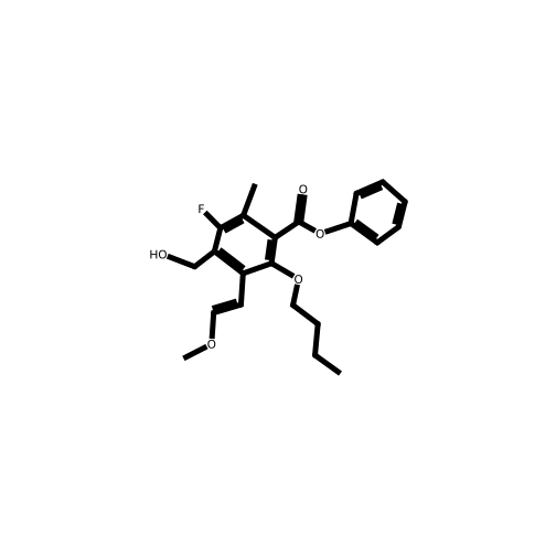 CCCCOc1c(C=COC)c(CO)c(F)c(C)c1C(=O)Oc1ccccc1